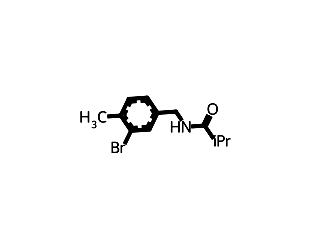 Cc1ccc(CNC(=O)C(C)C)cc1Br